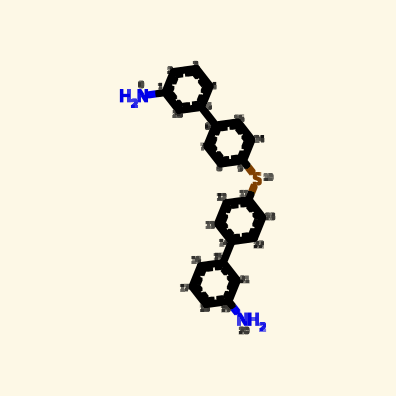 Nc1cccc(-c2ccc(Sc3ccc(-c4cccc(N)c4)cc3)cc2)c1